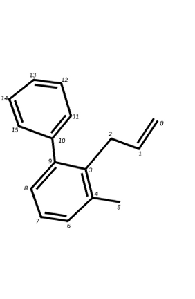 C=CCc1c(C)cccc1-c1ccccc1